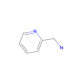 [N]Cc1ccccn1